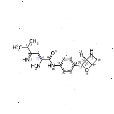 CC(C)C(=N)/C=C(\N)C(=O)Nc1ccc([C@@H]2OC3CN[C@H]32)cc1